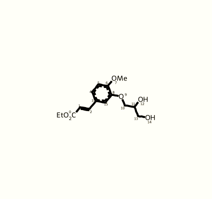 CCOC(=O)C=Cc1ccc(OC)c(OCC(O)CO)c1